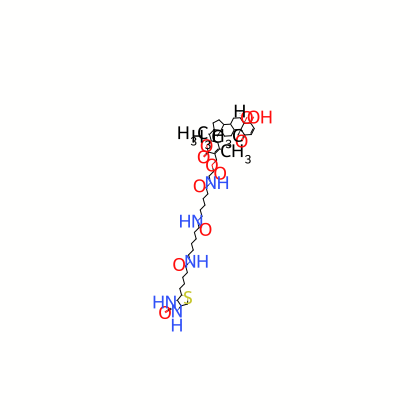 CC1=C(COC(=O)CNC(=O)CCCCCNC(=O)CCCCCNC(=O)CCCCC2SCC3NC(=O)NC32)C(=O)OC([C@H](C)C2CCC3C4C[C@H]5O[C@]56[C@@H](O)C=CC(=O)[C@]6(C)C4CC[C@@]32C)C1